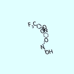 CN(CCO)CCCO[C@H]1CC[C@H](N(C)S(=O)(=O)c2ccc(C(F)(F)F)cc2)CC1